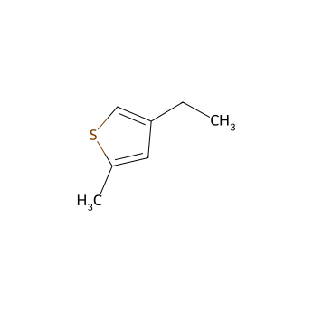 CCc1csc(C)c1